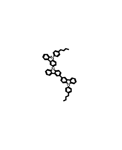 CCCCc1ccc(-n2c3ccccc3c3cc(-c4ccc5c(c4)c4ccccc4n5-c4ccc5c(c4)c4ccccc4n5-c4ccc(CCCC)cc4)ccc32)cc1